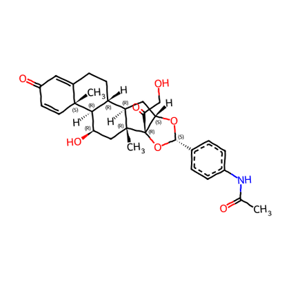 CC(=O)Nc1ccc([C@H]2O[C@H]3C[C@@H]4[C@H]5CCC6=CC(=O)C=C[C@@]6(C)[C@@H]5[C@H](O)C[C@@]4(C)[C@@]3(C(=O)CO)O2)cc1